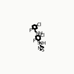 Fc1ccc(Cl)cc1CNc1cc(F)c(SNc2cscn2)cc1Cl